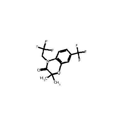 CC1(C)Oc2cc(C(F)(F)F)ccc2N(CC(F)(F)F)C1=O